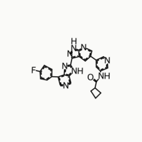 O=C(Nc1cncc(-c2cnc3[nH]nc(-c4nc5c(-c6ccc(F)cc6)cncc5[nH]4)c3c2)c1)C1CCC1